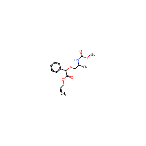 C=CCOC(=O)C(OCC(C#N)NC(=O)OC(C)(C)C)c1ccccc1